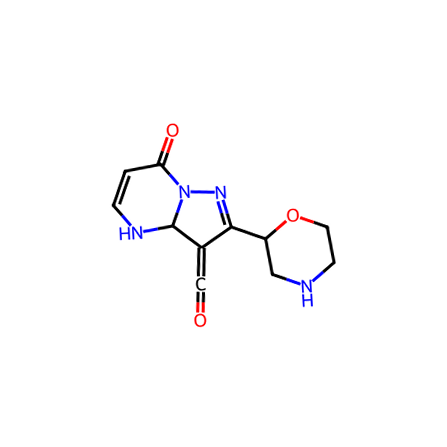 O=C=C1C(C2CNCCO2)=NN2C(=O)C=CNC12